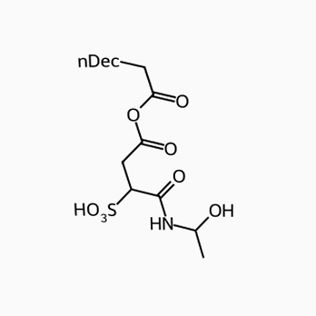 CCCCCCCCCCCC(=O)OC(=O)CC(C(=O)NC(C)O)S(=O)(=O)O